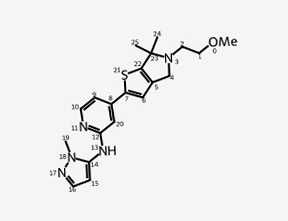 COCCN1Cc2cc(-c3ccnc(Nc4ccnn4C)c3)sc2C1(C)C